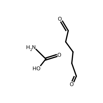 NC(=O)O.O=CCCCC=O